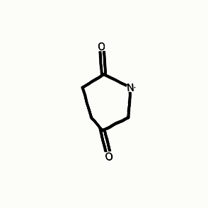 O=C1CCC(=O)[N]C1